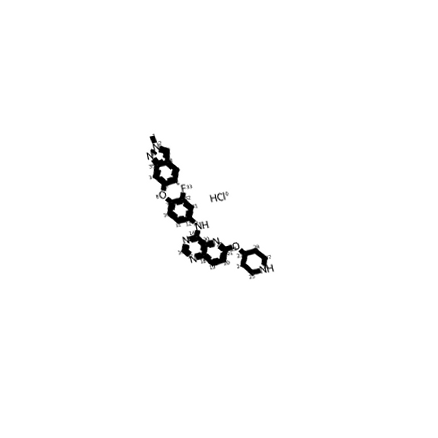 Cl.Cn1cc2ccc(Oc3ccc(Nc4ncnc5ccc(OC6CCNCC6)nc45)cc3F)cc2n1